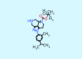 Cc1cc(C(C)C)ccc1-n1nc2c3c1CCN(C(=O)OC(C)(C)C)[C@H]3CNC2